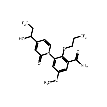 NC(=O)c1cc(OC(F)(F)F)cc(-n2ccc(C(O)CC(F)(F)F)cc2=O)c1OCCC(F)(F)F